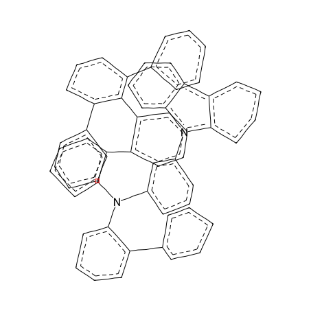 c1ccc(-c2ccccc2-c2c(-c3ccccc3)cccc2-c2cccc(N(c3cccc(-n4c5ccccc5c5ccccc54)c3)c3ccccc3-c3ccccc3)c2)cc1